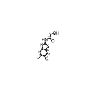 Cc1cc2nc(NC(=O)CO)sc2cc1C